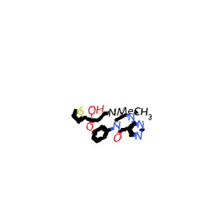 CNCC[C@@](O)(Oc1cccc(N2CCN(C)c3ncncc3C2=O)c1)c1cccs1